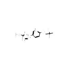 CC(F)(F)COc1ccc(-n2cnc(Br)n2)cn1